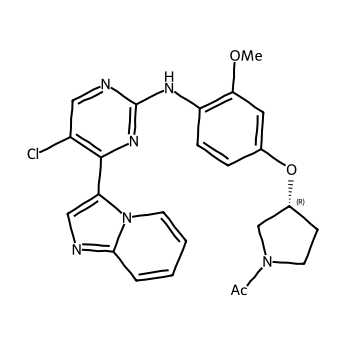 COc1cc(O[C@@H]2CCN(C(C)=O)C2)ccc1Nc1ncc(Cl)c(-c2cnc3ccccn23)n1